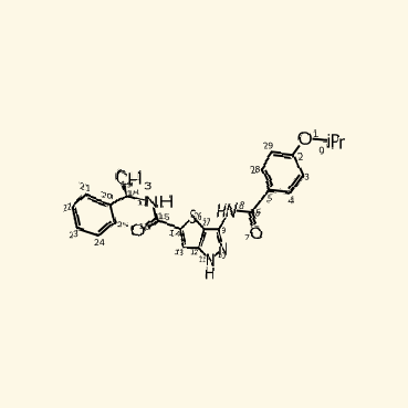 CC(C)Oc1ccc(C(=O)Nc2n[nH]c3cc(C(=O)N[C@H](C)c4ccccc4)sc23)cc1